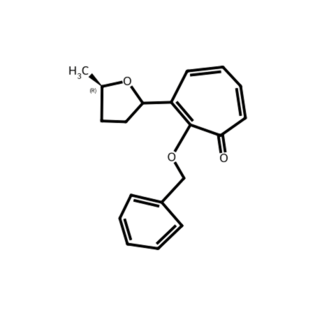 C[C@@H]1CCC(c2ccccc(=O)c2OCc2ccccc2)O1